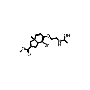 COC(=O)C1CC2C(Br)=C(OCCNC(C)O)C=CC2(C)C1